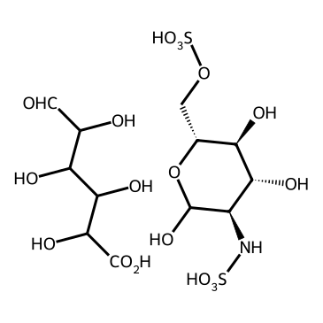 O=CC(O)C(O)C(O)C(O)C(=O)O.O=S(=O)(O)N[C@H]1C(O)O[C@H](COS(=O)(=O)O)[C@@H](O)[C@@H]1O